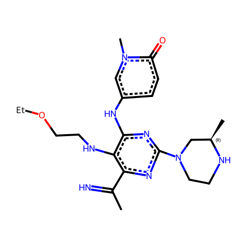 CCOCCNc1c(Nc2ccc(=O)n(C)c2)nc(N2CCN[C@H](C)C2)nc1C(C)=N